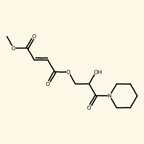 COC(=O)/C=C/C(=O)OCC(O)C(=O)N1CCCCC1